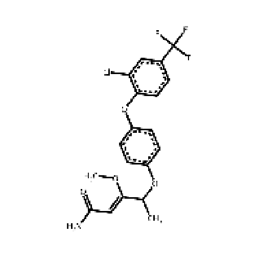 CO/C(=C\C(N)=O)C(C)Oc1ccc(Oc2ccc(C(F)(F)F)cc2Cl)cc1